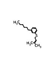 CCCCCCc1cccc(SCC=C(C)C)c1